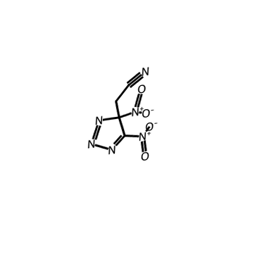 N#CCC1([N+](=O)[O-])N=NN=C1[N+](=O)[O-]